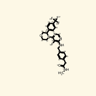 CNC(=O)Cc1ccc(CNc2ncnc(N3CCOCC3c3ccc(C(F)(F)F)cc3)c2F)cc1